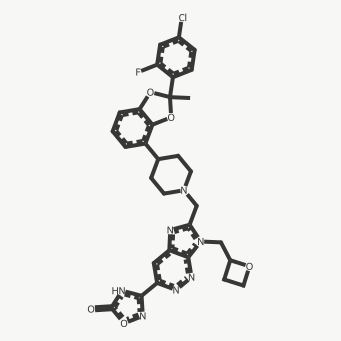 CC1(c2ccc(Cl)cc2F)Oc2cccc(C3CCN(Cc4nc5cc(-c6noc(=O)[nH]6)nnc5n4CC4CCO4)CC3)c2O1